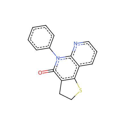 O=c1c2c(c3cccnc3n1-c1ccccc1)SCC2